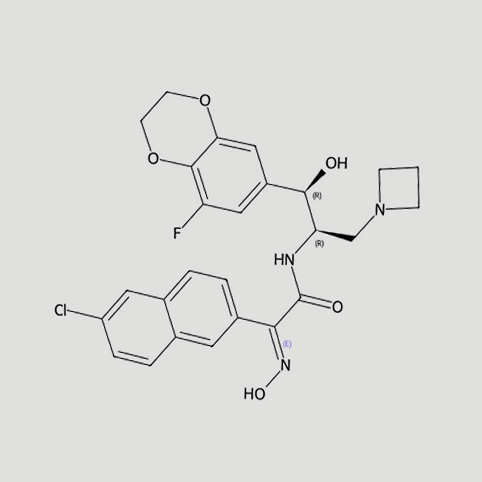 O=C(N[C@H](CN1CCC1)[C@H](O)c1cc(F)c2c(c1)OCCO2)/C(=N/O)c1ccc2cc(Cl)ccc2c1